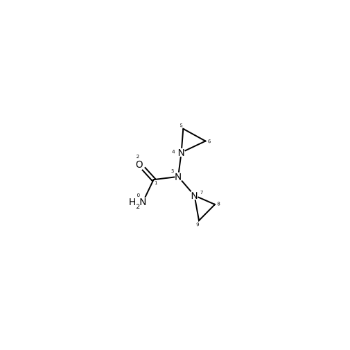 NC(=O)N(N1CC1)N1CC1